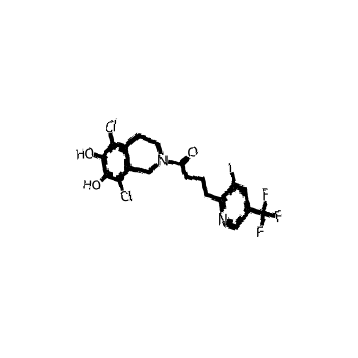 O=C(CCCc1ncc(C(F)(F)F)cc1I)N1CCc2c(Cl)c(O)c(O)c(Cl)c2C1